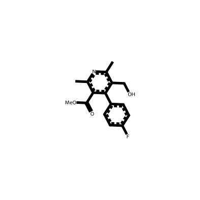 COC(=O)c1c(C)nc(C)c(CO)c1-c1ccc(F)cc1